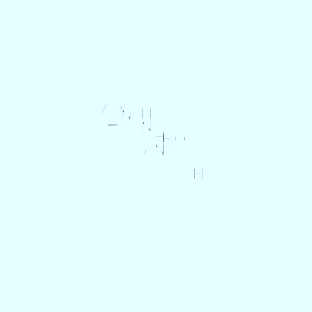 NC(Cc1ccccn1)C(=O)NC(CC1CCCCC1)C(O)C(O)C1CC1